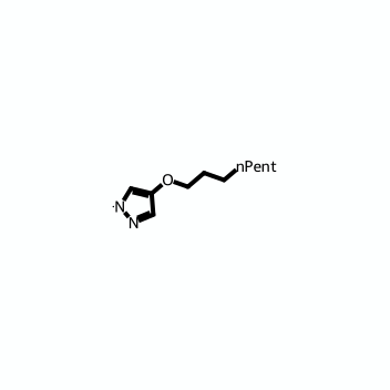 CCCCCCCCOC1=C[N]N=C1